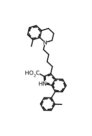 Cc1ccccc1-c1cccc2c(CCCCN3CCCc4cccc(C)c43)c(C(=O)O)[nH]c12